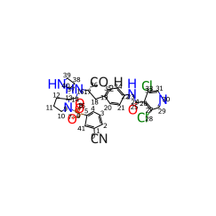 N#Cc1cccc(S(=O)(=O)N2CCCC2(C(=O)N[C@@H](Cc2ccc(NC(=O)c3c(Cl)cncc3Cl)cc2)C(=O)O)[C@H]2CCN2)c1